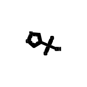 O=S(=O)(O)c1cnoc1